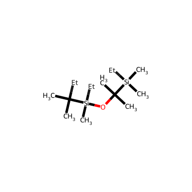 CCC(C)(C)[Si](C)(CC)OC(C)(C)[Si](C)(C)CC